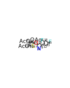 CC(=O)O[C@@H]1[C@@H](OC(C)=O)[C@@H](Oc2cncc(-c3ccc(F)cc3F)c2)SC[C@H]1OC(C)=O